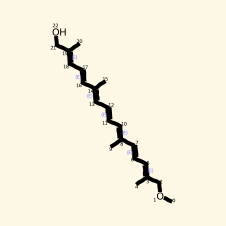 COC/C(C)=C/C=C/C(C)=C/C=C/C=C(C)/C=C/C=C(\C)CO